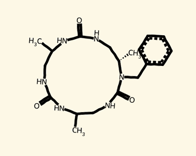 CC1CNC(=O)NC(C)CNC(=O)N(Cc2ccccc2)[C@@H](C)CNC(=O)N1